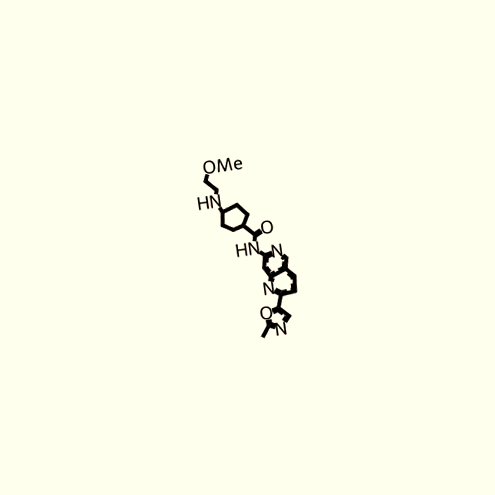 COCCNC1CCC(C(=O)Nc2cc3nc(-c4cnc(C)o4)ccc3cn2)CC1